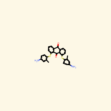 Cc1cc(N)ccc1Sc1cccc2c1C(=O)c1c(Sc3ccc(N)cc3C)cccc1C2=O